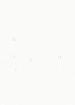 C[C@H]1Oc2nc(-c3ccc(C4(N(C(=O)O)C(C)(C)C)CCC4)cc3)c(-c3ccccc3)cc2N(CC#N)C1=O